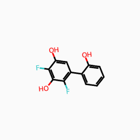 Oc1ccccc1-c1cc(O)c(F)c(O)c1F